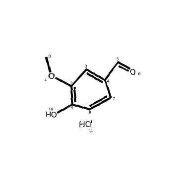 COc1cc(C=O)ccc1O.Cl